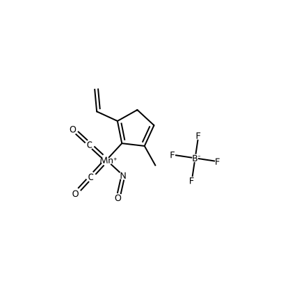 C=CC1=[C]([Mn+](=[C]=O)(=[C]=O)[N]=O)C(C)=CC1.F[B-](F)(F)F